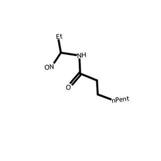 CCCCCCCC(=O)NC(CC)N=O